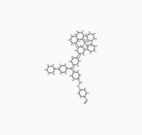 C=Cc1ccc(COc2ccc(N(c3ccc(-c4ccccc4)cc3)c3ccc(-c4ccc5c(c4)-c4cccc6cccc(c46)C5(c4ccccc4)c4ccccc4)cc3)cc2)cc1